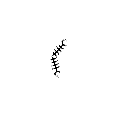 FC(CC(F)(F)F)C(F)(F)C(F)(F)C(F)(F)C(F)(F)OC(F)(F)C(F)(F)C(F)(F)C(F)(F)C(F)CC(F)(F)F